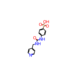 O=C(NCc1ccncc1)Nc1ccc(S(=O)(=O)O)cc1